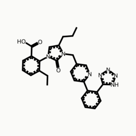 CCCc1cn(-c2c(CC)cccc2C(=O)O)c(=O)n1Cc1ccc(-c2ccccc2-c2nnn[nH]2)nc1